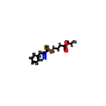 CCOC(=O)CCCSC(=S)NCc1ccccc1